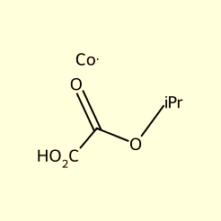 CC(C)OC(=O)C(=O)O.[Co]